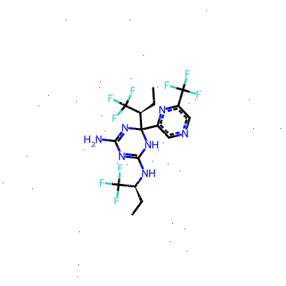 CC[C@H](NC1=NC(N)=NC(c2cncc(C(F)(F)F)n2)([C@H](CC)C(F)(F)F)N1)C(F)(F)F